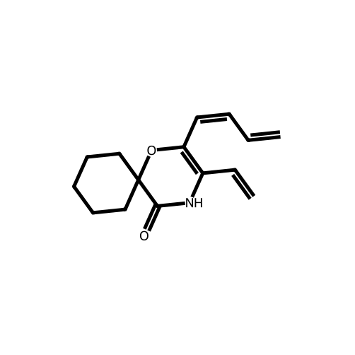 C=C/C=C\C1=C(C=C)NC(=O)C2(CCCCC2)O1